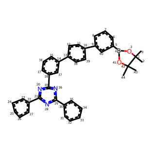 CC1(C)OB(c2cccc(-c3ccc(-c4cccc(-c5nc(-c6ccccc6)nc(-c6ccccc6)n5)c4)cc3)c2)OC1(C)C